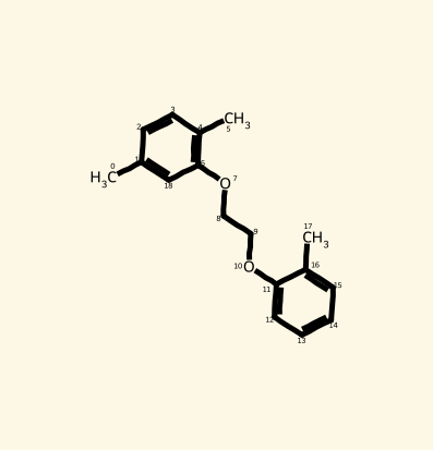 Cc1ccc(C)c(OCCOc2ccccc2C)c1